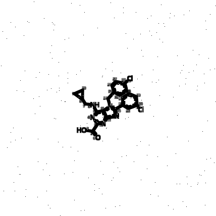 O=C(O)c1nc(NCC2CC2)c2c(n1)nc(-c1cccc(Cl)c1)n2Cc1ccc(Cl)cc1